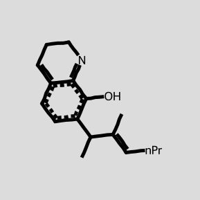 CCC/C=C(\C)C(C)c1ccc2c(c1O)=NCCC=2